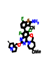 COC1CCC2COc3c(Cl)c(-c4ccc(F)c5sc(N)c(C#N)c45)c(F)c4nc(OC[C@@]56CCCN5C[C@H](C)C6)nc(c34)N2CC1